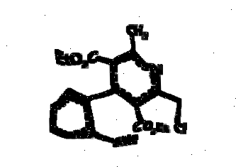 CCOC(=O)c1c(C)nc(CCl)c(C(=O)OCC)c1-c1ccccc1SC